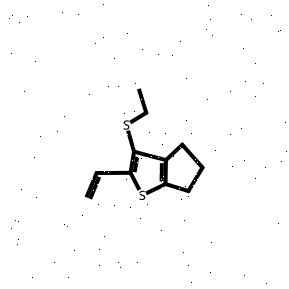 C=Cc1sc2c(c1SCC)CCC2